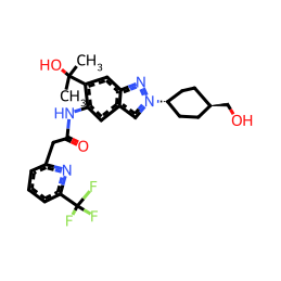 CC(C)(O)c1cc2nn([C@H]3CC[C@H](CO)CC3)cc2cc1NC(=O)Cc1cccc(C(F)(F)F)n1